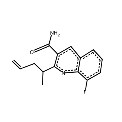 C=CCC(C)c1nc2c(F)cccc2cc1C(N)=O